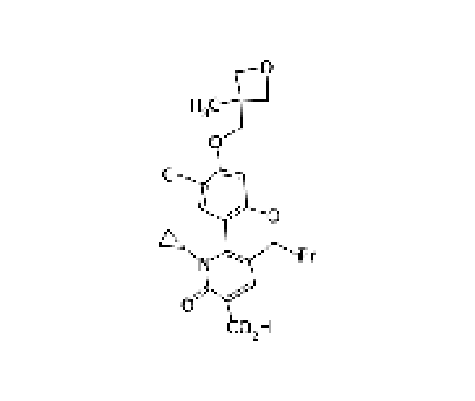 CC(C)C1Oc2cc(OCC3(C)COC3)c(Cl)cc2-c2c1cc(C(=O)O)c(=O)n2C1CC1